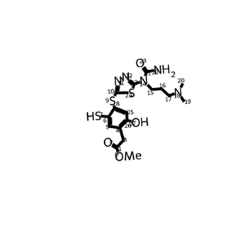 COC(=O)Cc1cc(S)c(Sc2nnc(N(CCCN(C)C)C(N)=O)s2)cc1O